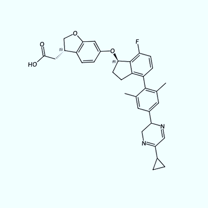 Cc1cc(C2CN=C(C3CC3)C=N2)cc(C)c1-c1ccc(F)c2c1CC[C@H]2Oc1ccc2c(c1)OC[C@H]2CC(=O)O